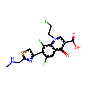 CNCc1nc(-c2c(F)cc3c(=O)c(C(=O)O)cn(CCF)c3c2F)cs1